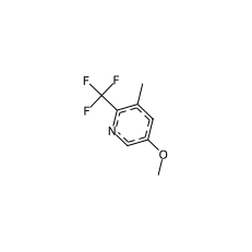 COc1cnc(C(F)(F)F)c(C)c1